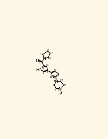 CN1CCN(c2nc(-c3c[nH]c(C(=O)N4CCCC4)c3)cs2)CC1